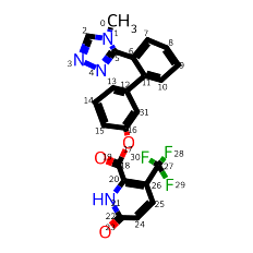 Cn1cnnc1-c1ccccc1-c1cccc(OC(=O)c2[nH]c(=O)ccc2C(F)(F)F)c1